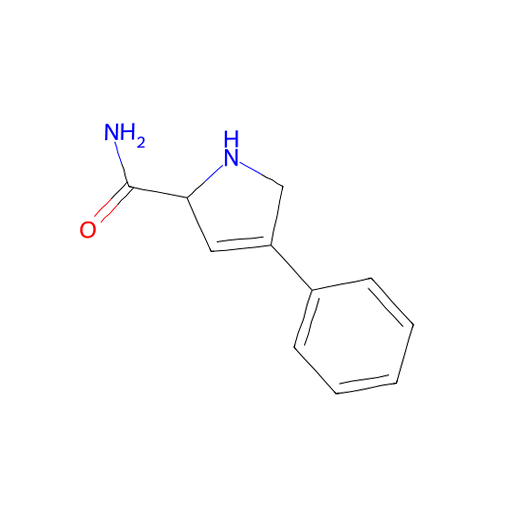 NC(=O)C1C=C(c2ccccc2)CN1